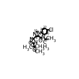 COC(C)(C)c1nc(-c2ncn3c2c(=O)n(C(C)C)c2cc(Cl)ccc23)no1